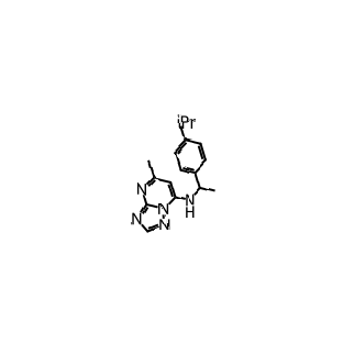 Cc1cc(NC(C)c2ccc(C(C)C)cc2)n2ncnc2n1